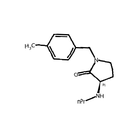 CCCN[C@@H]1CCN(Cc2ccc(C)cc2)C1=O